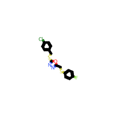 Fc1ccc(SCc2nnc(SCc3ccc(Cl)cc3)o2)cc1